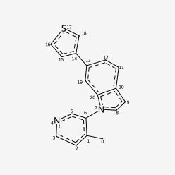 Cc1ccncc1-n1ccc2ccc(-c3ccsc3)cc21